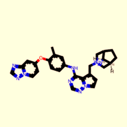 Cc1cc(Nc2ncnn3ccc(CN4CC5CC[C@@H](C4)[C@H]5N)c23)ccc1Oc1ccn2ncnc2c1